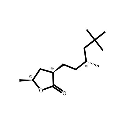 C[C@H](CC[C@@H]1C[C@H](C)OC1=O)CC(C)(C)C